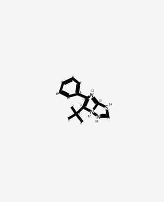 CC(C)(C)c1c(-c2ccccc2)nc2scnn12